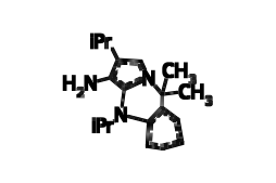 CC(C)c1cn2c(c1N)N(C(C)C)c1ccccc1C2(C)C